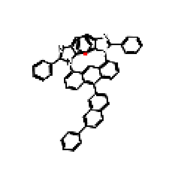 c1ccc(-c2ccc3ccc(-c4c5cccc(-n6c(-c7ccccc7)nc7ccccc76)c5cc5c(-n6c(-c7ccccc7)nc7ccccc76)cccc45)cc3c2)cc1